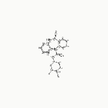 CC1CC(OC(=O)N2c3ccccc3C(=O)Nc3cccnc32)CCN1C